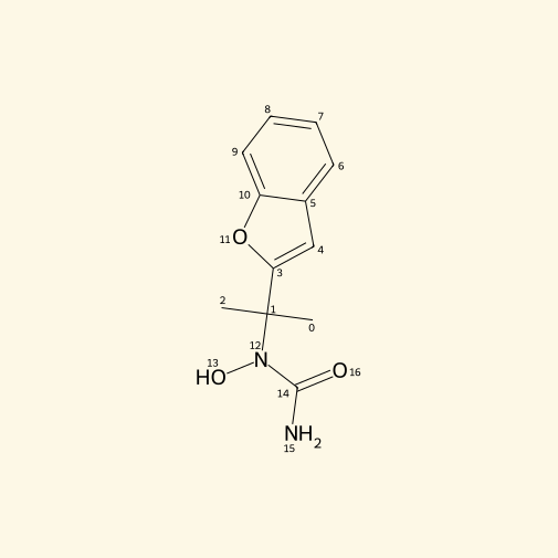 CC(C)(c1cc2ccccc2o1)N(O)C(N)=O